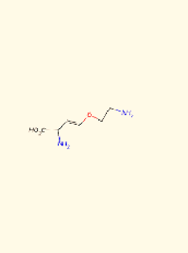 NCCO/C=C/C(N)C(=O)O